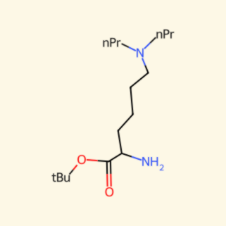 [CH2][CH]CN(C[CH][CH2])CCCCC(N)C(=O)OC(C)(C)C